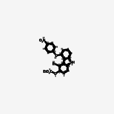 CCOC(=O)Oc1ncc2[nH]c3cccc(Oc4ccc([N+](=O)[O-])cc4)c3c2c1CC